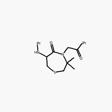 CC(C)NC1CSCC(C)(C)N(CC(=O)C(C)C)C1=O